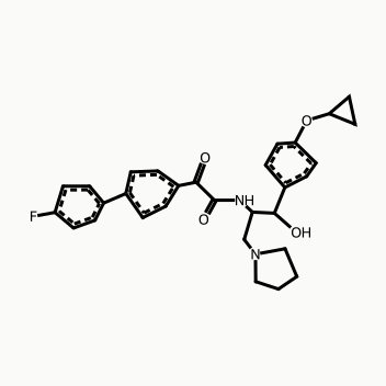 O=C(NC(CN1CCCC1)C(O)c1ccc(OC2CC2)cc1)C(=O)c1ccc(-c2ccc(F)cc2)cc1